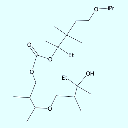 CCC(C)(O)C(C)COC(C)C(C)COC(=O)OC(C)(CC)C(C)(C)CCOC(C)C